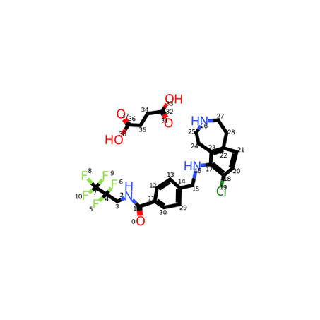 O=C(NCC(F)(F)C(F)(F)F)c1ccc(CNc2c(Cl)ccc3c2CCNCC3)cc1.O=C(O)CCC(=O)O